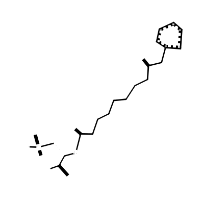 O=C(CCCCCCCC(=O)N[C@@H](CS(=O)(=O)O)C(=O)O)Cc1ccccc1